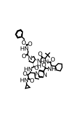 CCCC(NC(=O)[C@@H]1CN(C(=O)CNC(=O)OCc2ccccc2)C[C@@H]1NC(=O)C(NC(=O)[C@@H](NC(=O)c1cnccn1)C1CCCCC1)C(C)(C)C)C(=O)C(=O)NC1CC1